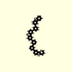 c1cc(-c2cccc(-c3ccc4oc5cccnc5c4c3)c2)cc(-c2ccc3oc4ccc(-c5cccc(-c6ccc7oc8ccccc8c7c6)c5)cc4c3c2)c1